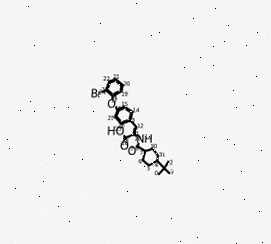 CC(C)(C)C1CCC(C(=O)NC(=Cc2ccc(Oc3ccccc3Br)cc2)C(=O)O)CC1